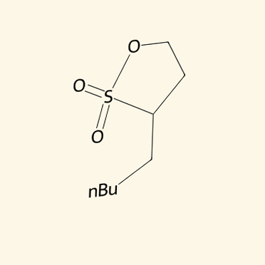 CCCCCC1CCOS1(=O)=O